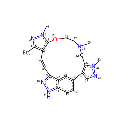 CCc1nn(C)c2c1/C=C/c1n[nH]c3ccc(cc13)-c1cnn(C)c1CN(C)CCO2